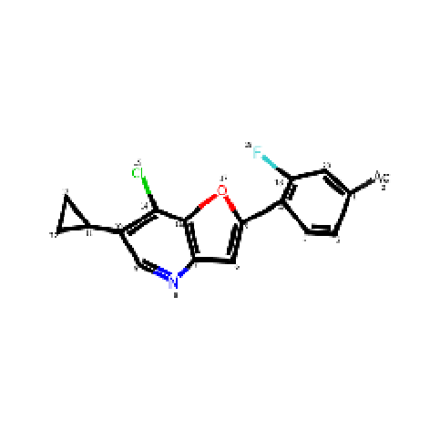 CC(=O)c1ccc(-c2cc3ncc(C4CC4)c(Cl)c3o2)c(F)c1